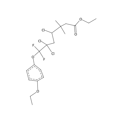 CCOC(=O)CC(C)(C)C(Cl)CC(Cl)(Cl)C(F)(F)Oc1ccc(OCC)cc1